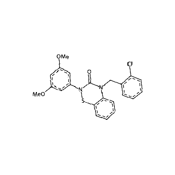 COc1cc(OC)cc(N2Sc3ccccc3N(Cc3ccccc3Cl)C2=O)c1